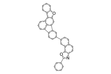 c1ccc(-c2nc3ccc4ccc(-c5ccc6c(c5)-c5cc7oc8ccccc8c7c7cccc-6c57)cc4c3o2)cc1